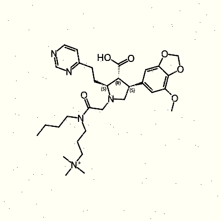 CCCCN(CCC[N+](C)(C)C)C(=O)CN1C[C@H](c2cc(OC)c3c(c2)OCO3)[C@@H](C(=O)O)[C@@H]1CCc1ccncn1